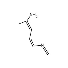 C=N/C=C\C=C(/C)N